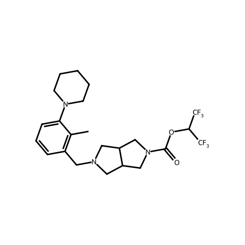 Cc1c(CN2CC3CN(C(=O)OC(C(F)(F)F)C(F)(F)F)CC3C2)cccc1N1CCCCC1